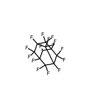 F[C]1C2(F)C(F)(F)C3(F)C(F)(F)C1(F)C(F)(F)C(F)(C2(F)F)C3(F)F